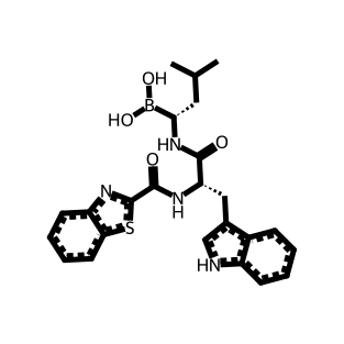 CC(C)C[C@H](NC(=O)[C@H](Cc1c[nH]c2ccccc12)NC(=O)c1nc2ccccc2s1)B(O)O